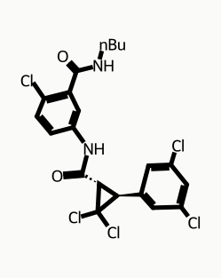 CCCCNC(=O)c1cc(NC(=O)[C@@H]2[C@@H](c3cc(Cl)cc(Cl)c3)C2(Cl)Cl)ccc1Cl